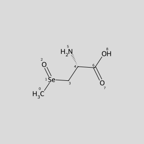 C[Se](=O)C[C@H](N)C(=O)O